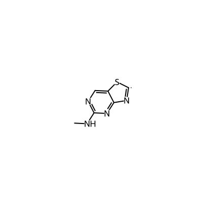 CNc1ncc2s[c]nc2n1